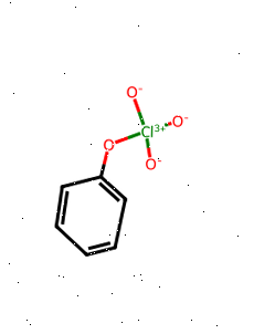 [O-][Cl+3]([O-])([O-])Oc1ccccc1